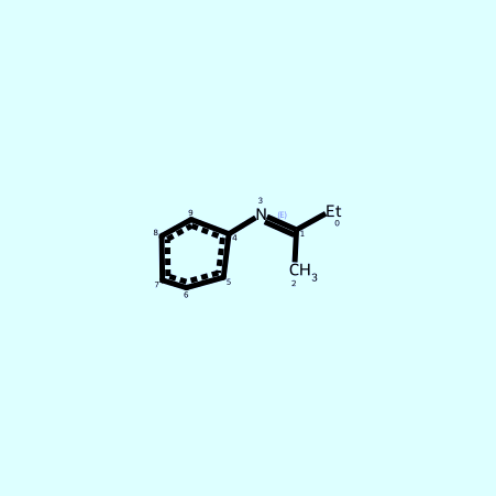 CC/C(C)=N/c1ccccc1